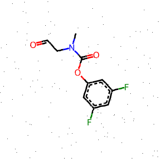 CN(CC=O)C(=O)Oc1cc(F)cc(F)c1